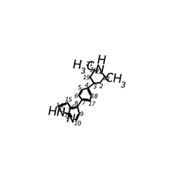 CC1CC(c2ccc(-c3ccnc4[nH]ccc34)cc2)CC(C)N1